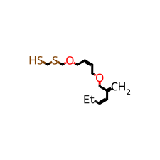 C=C(/C=C\CC)COC/C=C\COCSCS